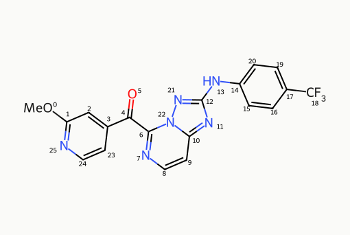 COc1cc(C(=O)c2nccc3nc(Nc4ccc(C(F)(F)F)cc4)nn23)ccn1